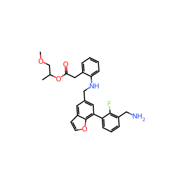 COCC(C)OC(=O)Cc1ccccc1NCc1cc(-c2cccc(CN)c2F)c2occc2c1